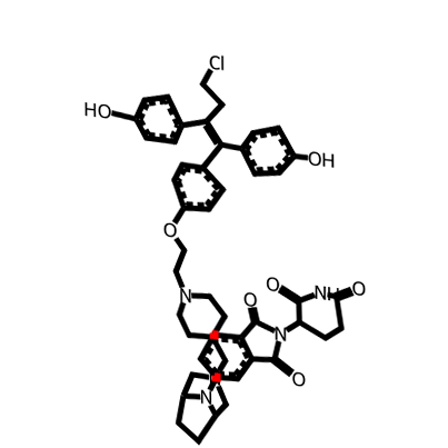 O=C1CCC(N2C(=O)c3ccc(N4C5CCC4CN(CC4CCN(CCOc6ccc(C(=C(CCCl)c7ccc(O)cc7)c7ccc(O)cc7)cc6)CC4)C5)cc3C2=O)C(=O)N1